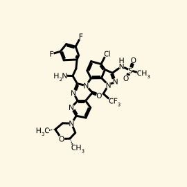 C[C@@H]1CN(c2ccc3c(=O)n(-c4ccc(Cl)c5c(NS(C)(=O)=O)nn(CC(F)(F)F)c45)c(C(N)Cc4cc(F)cc(F)c4)nc3n2)C[C@H](C)O1